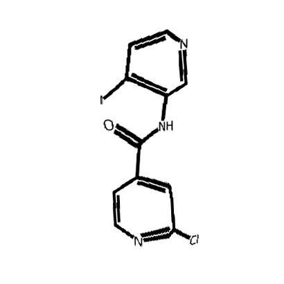 O=C(Nc1cnccc1I)c1ccnc(Cl)c1